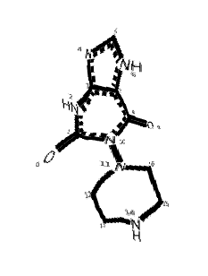 O=c1[nH]c2nc[nH]c2c(=O)n1N1CCNCC1